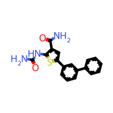 NC(=O)Nc1sc(-c2cccc(-c3ccccc3)c2)cc1C(N)=O